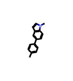 Cc1ccc(-c2ccc3c(ccn3C)c2)cc1